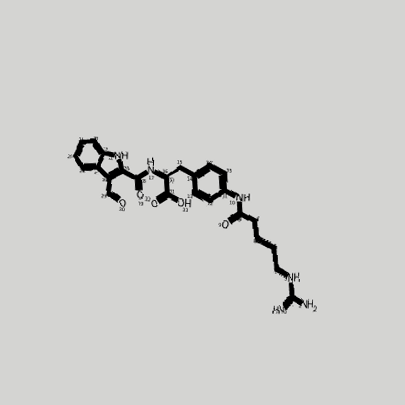 N=C(N)NCCCCC(=O)Nc1ccc(C[C@H](NC(=O)c2[nH]c3ccccc3c2C=O)C(=O)O)cc1